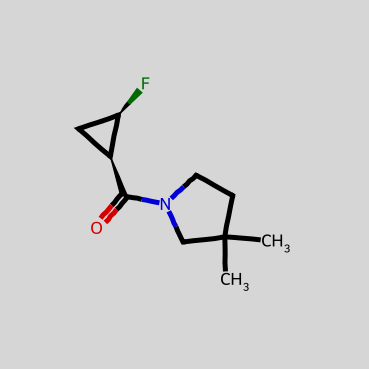 CC1(C)CCN(C(=O)[C@H]2C[C@H]2F)C1